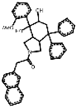 COc1ccccc1C1(O)C(O)CC(c2ccccc2)(c2ccccc2)C2CN(C(=O)Cc3ccc4ccccc4c3)CC21